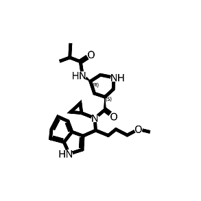 COCCCC(c1c[nH]c2ccccc12)N(C(=O)[C@@H]1CNC[C@H](NC(=O)C(C)C)C1)C1CC1